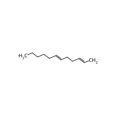 [CH2]C=CCCC=CCCCC[CH2]